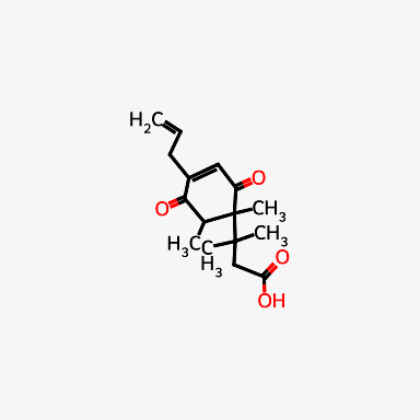 C=CCC1=CC(=O)C(C)(C(C)(C)CC(=O)O)C(C)C1=O